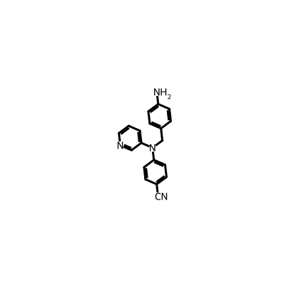 N#Cc1ccc(N(Cc2ccc(N)cc2)c2cccnc2)cc1